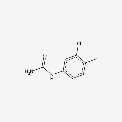 Cc1ccc(NC(N)=O)cc1Cl